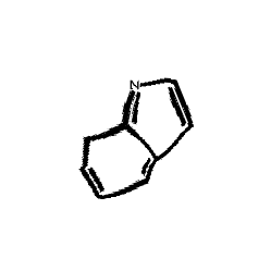 C1=CCC2=NC=CC2=C1